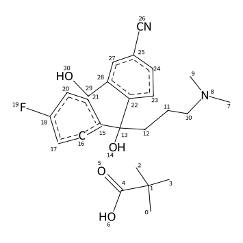 CC(C)(C)C(=O)O.CN(C)CCCC(O)(c1ccc(F)cc1)c1ccc(C#N)cc1CO